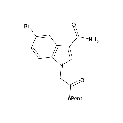 CCCCCC(=O)Cn1cc(C(N)=O)c2cc(Br)ccc21